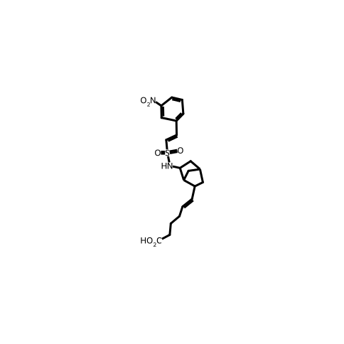 O=C(O)CCCC=CC1CC2CC(NS(=O)(=O)C=Cc3cccc([N+](=O)[O-])c3)C1C2